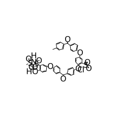 Cc1ccc(C(=O)c2ccc(Oc3ccc(Oc4ccc(C(=O)c5ccc(Oc6ccc(O)c(S(=O)(=O)NS(C)(=O)=O)c6)cc5)cc4)c(S(=O)(=O)Cl)c3)cc2)cc1